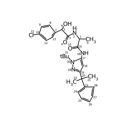 CC(NC(=O)C(O)c1ccc(Cl)cc1)C(=O)Nc1cc(C(C)(C)c2ccccc2)nn1C(C)(C)C